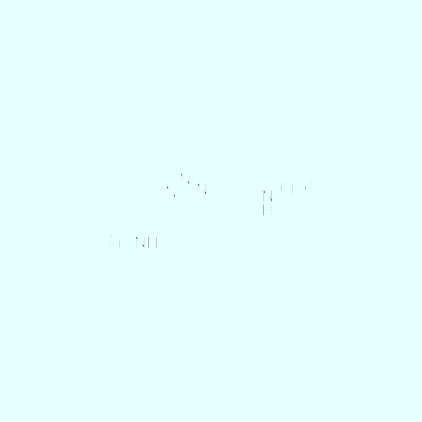 CC(C)NCCc1cn(CCCNC=O)nn1